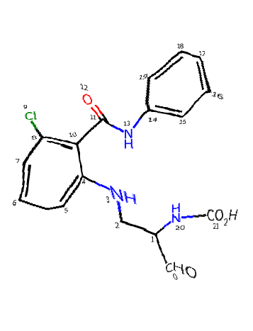 O=CC(CNc1cccc(Cl)c1C(=O)Nc1ccccc1)NC(=O)O